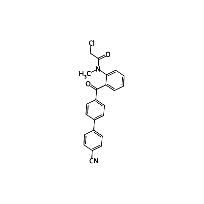 CN(C(=O)CCl)c1ccccc1C(=O)c1ccc(-c2ccc(C#N)cc2)cc1